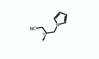 C[C@@H](CC#N)Cn1cccc1